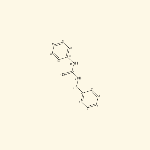 O=C(NSc1ccccc1)Nc1cc[c]cc1